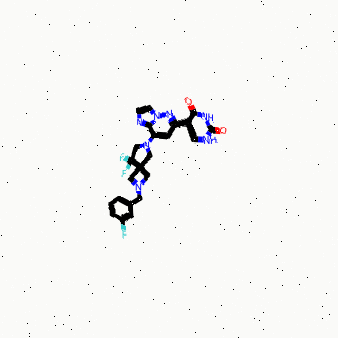 O=c1[nH]cc(-c2cc(N3CC(F)(F)C4(CN(Cc5cccc(F)c5)C4)C3)c3nccn3n2)c(=O)[nH]1